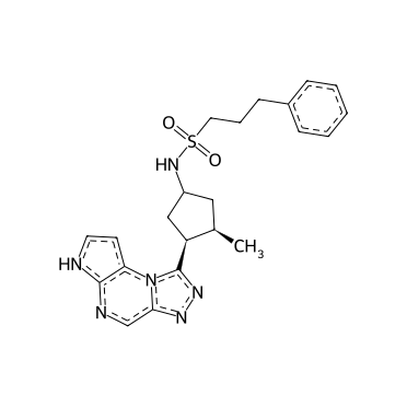 C[C@@H]1CC(NS(=O)(=O)CCCc2ccccc2)C[C@@H]1c1nnc2cnc3[nH]ccc3n12